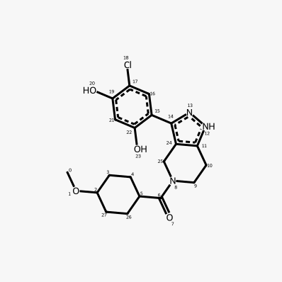 COC1CCC(C(=O)N2CCc3[nH]nc(-c4cc(Cl)c(O)cc4O)c3C2)CC1